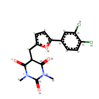 CN1C(=O)C(Cc2ccc(-c3ccc(Cl)c(Cl)c3)o2)C(=O)N(C)C1=O